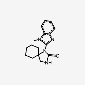 Cn1c(N2C(=O)NCC23CCCCC3)nc2ccccc21